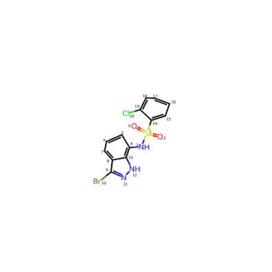 O=S(=O)(Nc1cccc2c(Br)n[nH]c12)c1ccccc1Cl